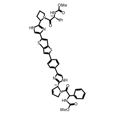 COC(=O)NC(C(=O)N1CC=C[C@H]1c1nc(-c2ccc(-c3cc4sc(-c5c[nH]c(C6CCCN6C(=O)[C@@H](NC(=O)OC)C(C)C)n5)cc4s3)cc2)c[nH]1)c1ccccc1